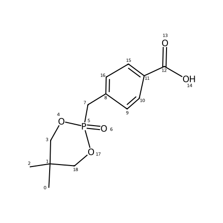 CC1(C)COP(=O)(Cc2ccc(C(=O)O)cc2)OC1